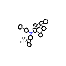 CC1(C)c2ccccc2-c2ccc(N(c3ccc(-c4ccccc4)cc3)c3ccc4c(c3)-c3ccccc3-c3ccccc3C43c4ccccc4-c4cc5ccccc5cc43)cc21